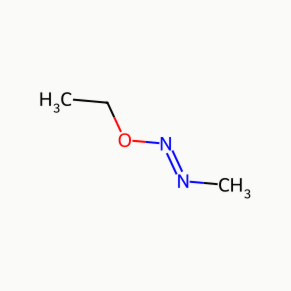 CCON=NC